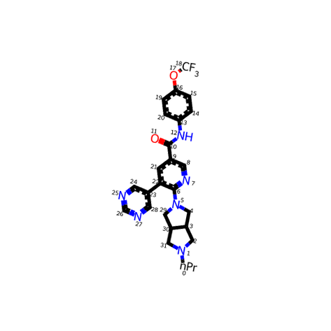 CCCN1CC2CN(c3ncc(C(=O)Nc4ccc(OC(F)(F)F)cc4)cc3-c3cncnc3)CC2C1